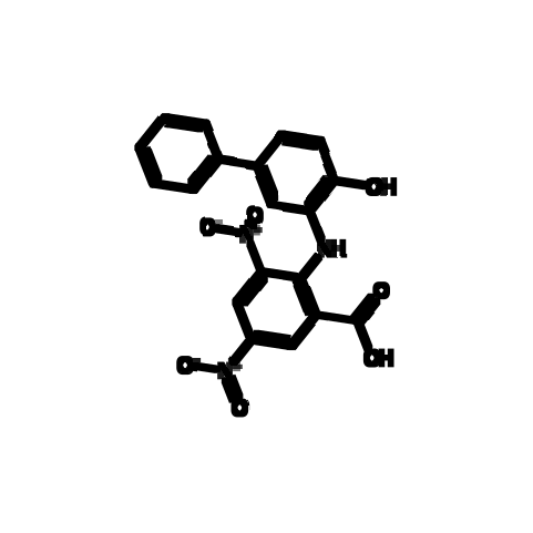 O=C(O)c1cc([N+](=O)[O-])cc([N+](=O)[O-])c1Nc1cc(-c2ccccc2)ccc1O